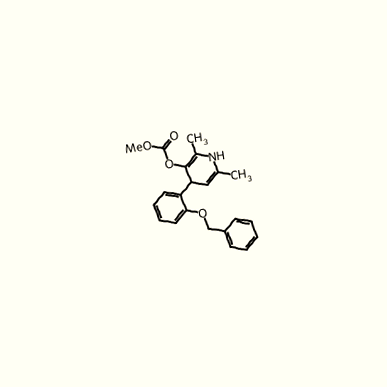 COC(=O)OC1=C(C)NC(C)=CC1c1ccccc1OCc1ccccc1